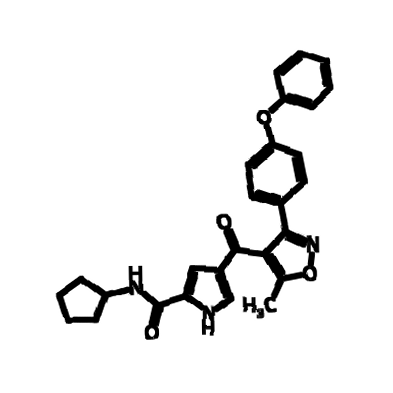 Cc1onc(-c2ccc(Oc3ccccc3)cc2)c1C(=O)c1c[nH]c(C(=O)NC2CCCC2)c1